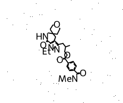 CCn1nc(CC(C)COC(=O)c2ccc(C(=O)NC)cc2)c2c1C(=O)NCC1(CCOCC1)C2